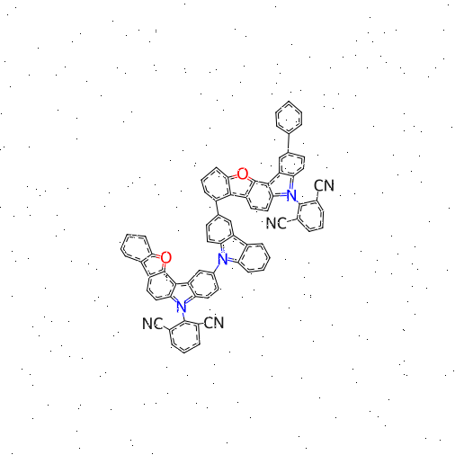 N#Cc1cccc(C#N)c1-n1c2ccc(-n3c4ccccc4c4cc(-c5cccc6oc7c(ccc8c7c7cc(-c9ccccc9)ccc7n8-c7c(C#N)cccc7C#N)c56)ccc43)cc2c2c3oc4ccccc4c3ccc21